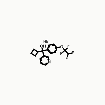 Br.OC(c1ccc(OC(F)(F)C(F)F)cc1)(c1cccnc1)C1CCC1